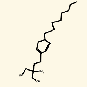 CCCCCCCCC1C=CC(CCC(N)(CO)CO)=CC1